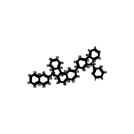 c1ccc(-n2c3ccccc3c3ccc(-c4ccc5ccc6c(c5c4)c4ccccc4n6-c4ccc5ccccc5c4)cc32)cc1